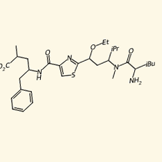 CCOC(CC(C(C)C)N(C)C(=O)C(N)C(C)CC)c1nc(C(=O)NC(Cc2ccccc2)CC(C)C(=O)O)cs1